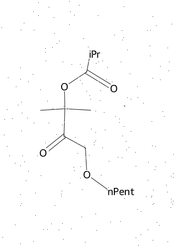 CCCCCOCC(=O)C(C)(C)OC(=O)C(C)C